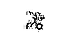 CC(C)N(CCC(c1ccccc1)c1c[nH]cn1)C(C)C.Cl.Cl